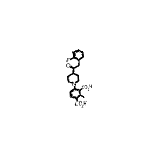 Cc1c(C(=O)O)ccc(N2CCC(C(=O)Cc3ccccc3F)CC2)c1C(=O)O